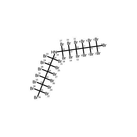 BrC(Br)(Br)C(Br)(Br)C(Br)(Br)C(Br)(Br)C(Br)(Br)C(Br)(Br)NC(Br)(Br)C(Br)(Br)C(Br)(Br)C(Br)(Br)C(Br)(Br)C(Br)(Br)Br